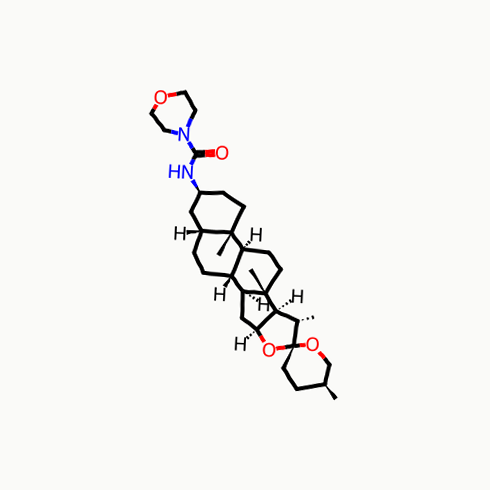 C[C@H]1CC[C@@]2(OC1)O[C@H]1C[C@H]3[C@@H]4CC[C@@H]5C[C@@H](NC(=O)N6CCOCC6)CC[C@]5(C)[C@H]4CC[C@]3(C)[C@H]1[C@@H]2C